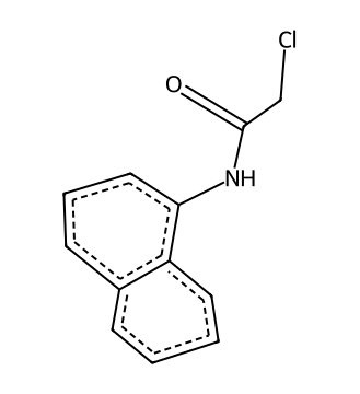 O=C(CCl)Nc1cccc2ccccc12